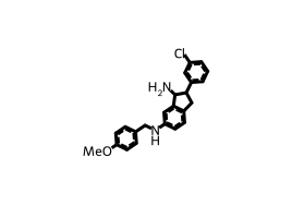 COc1ccc(CNc2ccc3c(c2)C(N)C(c2cccc(Cl)c2)C3)cc1